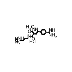 Cl.Cn1nc(-c2ccc(C(=N)N)cc2)cc(C(=O)NCCCc2nnn[nH]2)c1=O